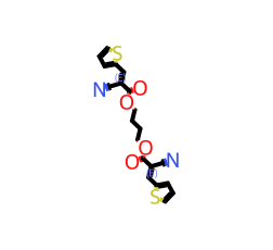 N#C/C(=C\c1cccs1)C(=O)OCCCCOC(=O)/C(C#N)=C/c1cccs1